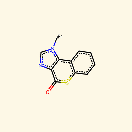 CC(C)n1cnc2c(=O)sc3ccccc3c21